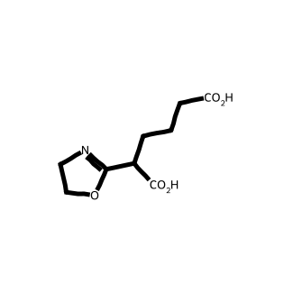 O=C(O)CCCC(C(=O)O)C1=NCCO1